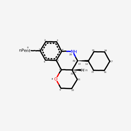 CCCCCc1ccc2c(c1)C1OCCC[C@H]1[C@H](C1CCCCC1)N2